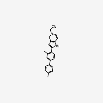 Cc1ccc(-c2ccc(-c3nc4c([nH]3)C=CN(CC#N)C4)c(C)c2)cc1